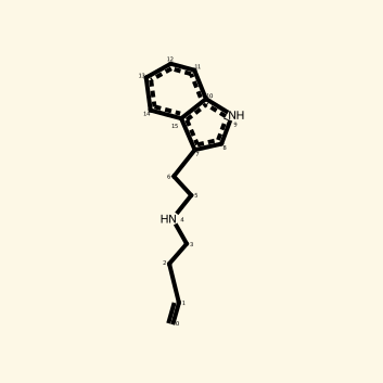 C=CCCNCCc1c[nH]c2ccccc12